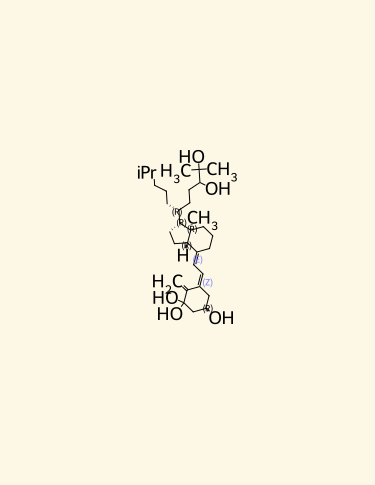 C=C1/C(=C\C=C2/CCC[C@]3(C)[C@@H]([C@H](CCCC(C)C)CCC(O)C(C)(C)O)CC[C@@H]23)C[C@@H](O)CC1(O)O